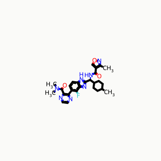 Cc1nocc1C(=O)N[C@H](c1nc2c(F)c(-c3nccnc3C(=O)N(C)C)ccc2[nH]1)C1CCC(C)CC1